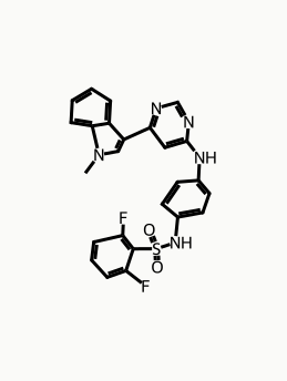 Cn1cc(-c2cc(Nc3ccc(NS(=O)(=O)c4c(F)cccc4F)cc3)ncn2)c2ccccc21